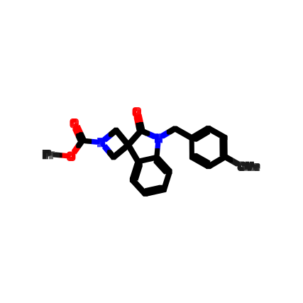 COc1ccc(CN2C(=O)C3(CN(C(=O)OC(C)C)C3)c3ccccc32)cc1